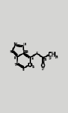 CC(=O)Cc1occc2[c]ccc1-2